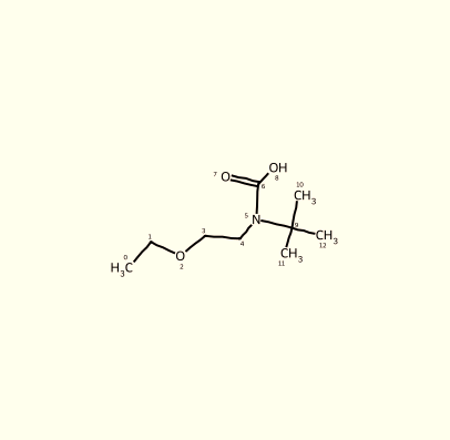 CCOCCN(C(=O)O)C(C)(C)C